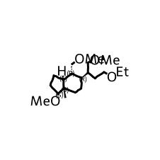 CCOCCC(COC)[C@H]1CC[C@]2(C)[C@@H](OC)CC[C@H]2[C@@H]1COC